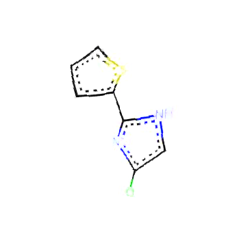 Clc1c[nH]c(-c2cccs2)n1